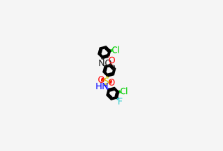 O=[N+]([O-])c1cccc(Cl)c1Oc1ccc(S(=O)(=O)Nc2ccc(F)c(Cl)c2)cc1